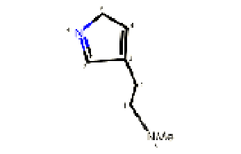 CNCCC1=CCN=C1